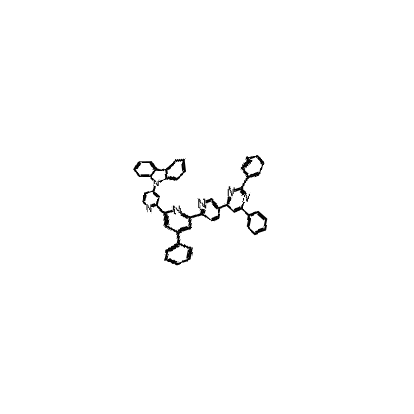 c1ccc(-c2cc(-c3ccc(-c4cc(-c5ccccc5)nc(-c5ccccc5)n4)cn3)nc(-c3cc(-n4c5ccccc5c5ccccc54)ccn3)c2)cc1